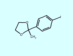 CC1(c2ccc(I)cc2)OCCO1